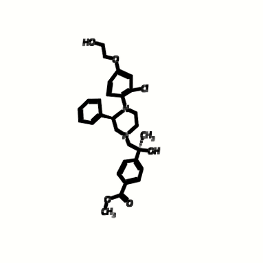 COC(=O)c1ccc([C@](C)(O)CN2CCN(c3ccc(OCCO)cc3Cl)[C@H](c3ccccc3)C2)cc1